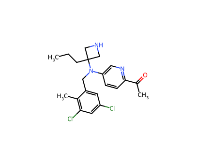 CCCC1(N(Cc2cc(Cl)cc(Cl)c2C)c2ccc(C(C)=O)nc2)CNC1